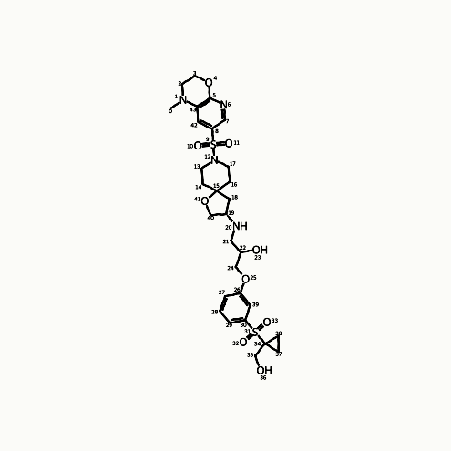 CN1CCOc2ncc(S(=O)(=O)N3CCC4(CC3)C[C@@H](NCC(O)COc3cccc(S(=O)(=O)C5(CO)CC5)c3)CO4)cc21